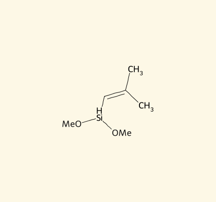 CO[SiH](C=C(C)C)OC